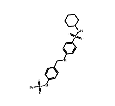 CC(C)S(=O)(=O)Nc1ccc(CNc2ccc(S(=O)(=O)NC3CCCCC3)cc2)cc1